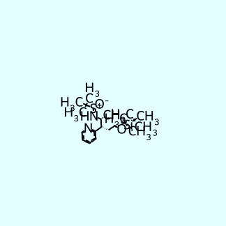 C[C@@H](N[S@@+]([O-])C(C)(C)C)[C@H](CCO[Si](C)(C)C(C)(C)C)c1ccccn1